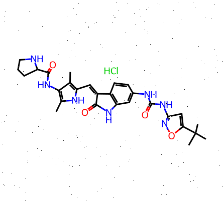 Cc1[nH]c(C=C2C(=O)Nc3cc(NC(=O)Nc4cc(C(C)(C)C)on4)ccc32)c(C)c1NC(=O)C1CCCN1.Cl